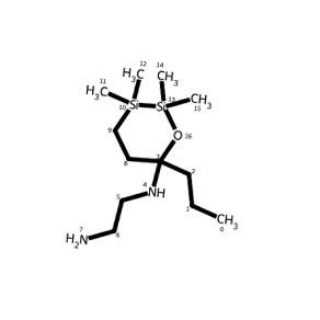 CCCC1(NCCN)CC[Si](C)(C)[Si](C)(C)O1